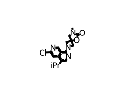 CC(C)c1cnc(N2CC3(CN(C)C(=O)O3)C2)c2cnc(Cl)cc12